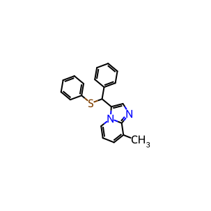 Cc1cccn2c(C(Sc3ccccc3)c3ccccc3)cnc12